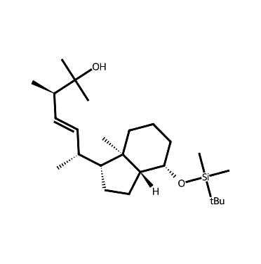 C[C@H](/C=C/[C@@H](C)C(C)(C)O)[C@H]1CC[C@H]2[C@@H](O[Si](C)(C)C(C)(C)C)CCC[C@]12C